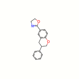 c1ccc(C2COc3ccc(C4=NCCO4)cc3C2)cc1